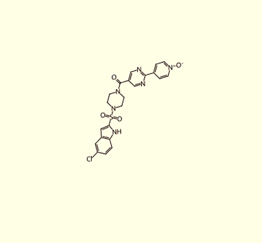 O=C(c1cnc(-c2cc[n+]([O-])cc2)nc1)N1CCN(S(=O)(=O)c2cc3cc(Cl)ccc3[nH]2)CC1